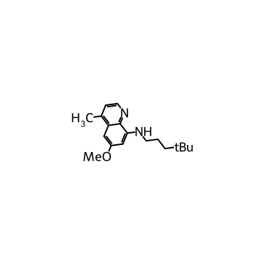 COc1cc(NCCCC(C)(C)C)c2nccc(C)c2c1